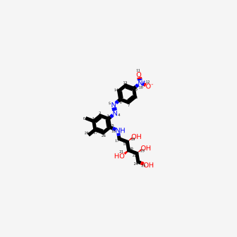 Cc1cc(N=Nc2ccc([N+](=O)[O-])cc2)c(NC[C@H](O)[C@H](O)[C@H](O)CO)cc1C